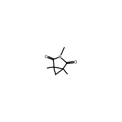 CN1C(=O)C2(C)CC2(C)C1=O